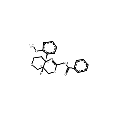 O=C(NC1=N[C@@]2(c3ccccc3OC(F)(F)F)CCOC[C@H]2CS1)c1ccccc1